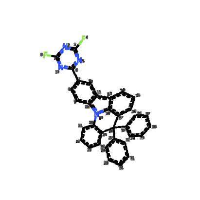 Fc1nc(F)nc(-c2ccc3c(c2)c2cccc4c2n3-c2ccccc2C4(c2ccccc2)c2ccccc2)n1